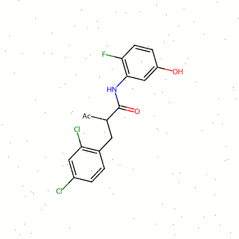 CC(=O)C(Cc1ccc(Cl)cc1Cl)C(=O)Nc1cc(O)ccc1F